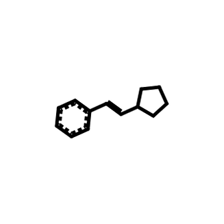 C(=C\c1ccccc1)/[C]1CCCC1